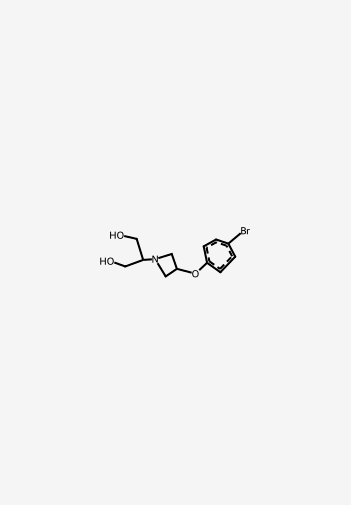 OCC(CO)N1CC(Oc2ccc(Br)cc2)C1